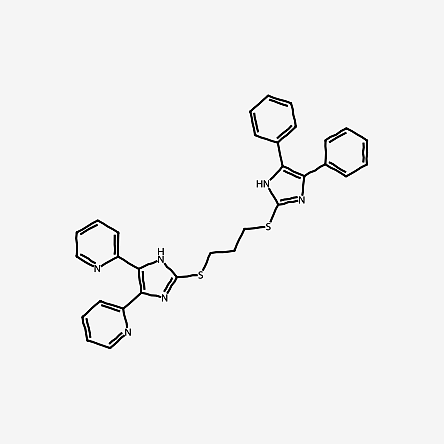 c1ccc(-c2nc(SCCCSc3nc(-c4ccccn4)c(-c4ccccn4)[nH]3)[nH]c2-c2ccccc2)cc1